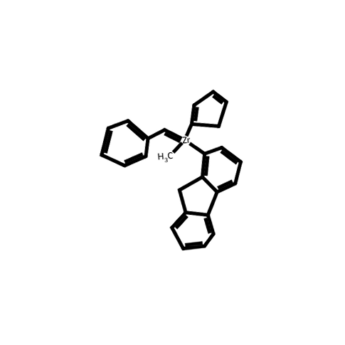 [CH3][Zr](=[CH]c1ccccc1)([C]1=CC=CC1)[c]1cccc2c1Cc1ccccc1-2